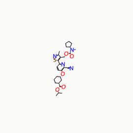 Cc1nsc(-c2ccc(O[C@H]3CCC[C@H](C(=O)OC(C)C)C3)c(C#N)n2)c1COC(=O)N(C)C1CCCC1